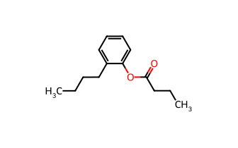 CCCCc1ccccc1OC(=O)CCC